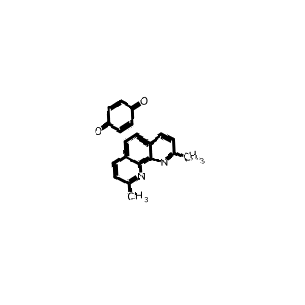 Cc1ccc2ccc3ccc(C)nc3c2n1.O=C1C=CC(=O)C=C1